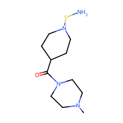 CN1CCN(C(=O)C2CCN(SN)CC2)CC1